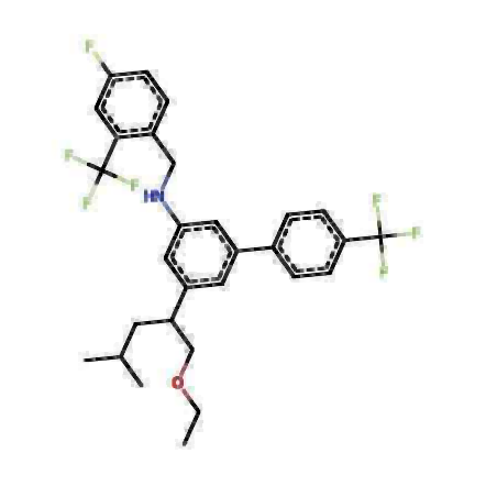 CCOCC(CC(C)C)c1cc(NCc2ccc(F)cc2C(F)(F)F)cc(-c2ccc(C(F)(F)F)cc2)c1